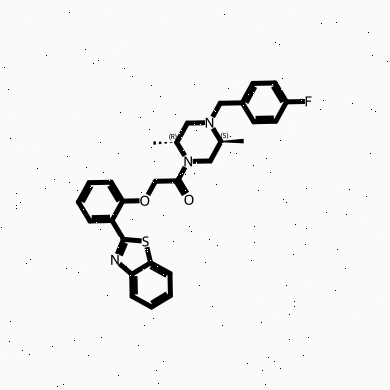 C[C@@H]1CN(Cc2ccc(F)cc2)[C@@H](C)CN1C(=O)COc1ccccc1-c1nc2ccccc2s1